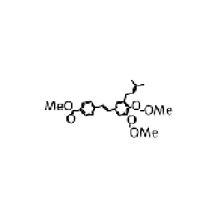 COCOc1cc(C=Cc2ccc(C(=O)OC)cc2)cc(CC=C(C)C)c1OCOC